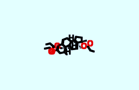 CCOC1=CC2=CC[C@@H]3[C@H](CC[C@@]4(C)[C@H]3CC[C@]4(C)OC(=O)CC)[C@@]2(COC(=O)CC)[C@@H](C)C1